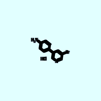 Cl.Nc1c[c]c(-c2cncc(Br)c2)cc1